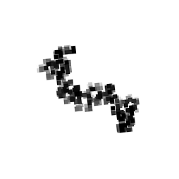 CC(C)(C)OC(=O)N1CCC[C@H]1C(=O)OCC(=O)c1ccc2c(c1)CCc1cc(C(=O)COC(=O)[C@@H]3CCCN3C(=O)OC(C)(C)C)sc1-2